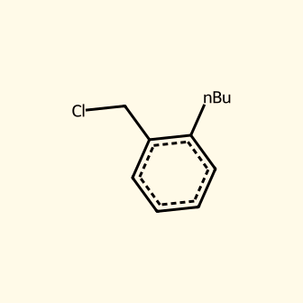 CCCCc1ccccc1CCl